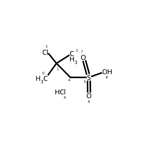 CC(C)(Cl)CS(=O)(=O)O.Cl